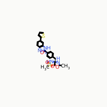 CCN[C@@](C=O)(Cc1ccc(C(=O)Nc2cc(-c3cccs3)ccc2N)cc1)NS(C)(=O)=O